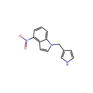 O=[N+]([O-])c1cccc2c1ccn2Cc1cc[nH]c1